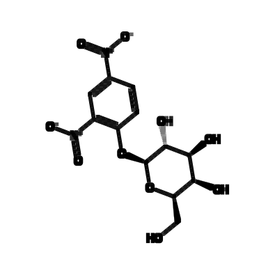 O=[N+]([O-])c1ccc(O[C@@H]2O[C@H](CO)[C@H](O)[C@H](O)[C@H]2O)c([N+](=O)[O-])c1